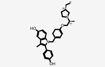 Cc1c(C2=C=C=C(O)C=C2)n(CC2=CC=C(OC[C@H](C)N3CC[C@@H](CF)C3)CC2)c2ccc(O)cc12